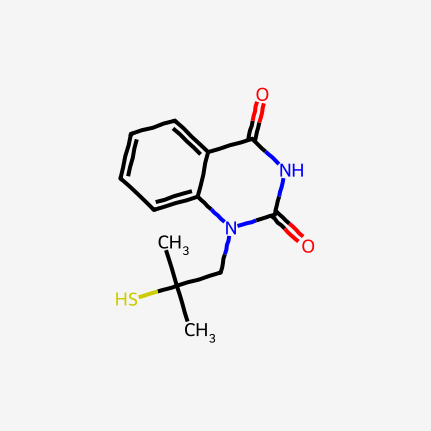 CC(C)(S)Cn1c(=O)[nH]c(=O)c2ccccc21